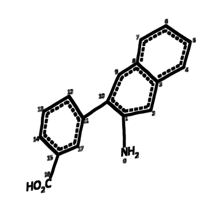 Nc1cc2ccccc2cc1-c1cccc(C(=O)O)c1